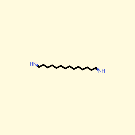 N=[C]CCCCCCCCCCCC[C]=N